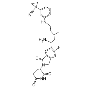 CC(CCNc1cccc(C2(C#N)CC2)c1)CC(N)c1cc2c(cc1F)CN(C1CCC(=O)NC1=O)C2=O